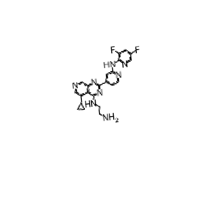 NCCNc1nc(-c2ccnc(Nc3ncc(F)cc3F)c2)nc2cncc(C3CC3)c12